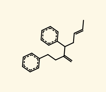 C=C(CCc1ccccc1)C(CC=CC)c1ccccc1